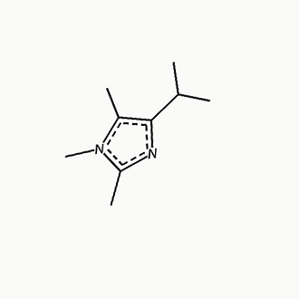 Cc1nc(C(C)C)c(C)n1C